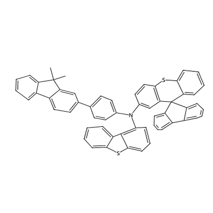 CC1(C)c2ccccc2-c2ccc(-c3ccc(N(c4ccc5c(c4)C4(c6ccccc6S5)c5ccccc5-c5ccccc54)c4cccc5sc6ccccc6c45)cc3)cc21